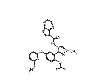 Cn1cc(NC(=O)c2cnn3cccnc23)c(-c2cc(Oc3cccc(CN)n3)ccc2OC(F)F)n1